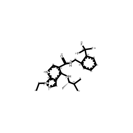 CCn1ncc2c(N[C@@H](C)C(C)C)c(C(=O)NCc3ccccc3C(F)(F)F)cnc21